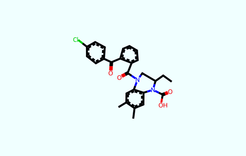 CCC1CN(C(=O)c2ccccc2C(=O)c2ccc(Cl)cc2)c2cc(C)c(C)cc2N1C(=O)O